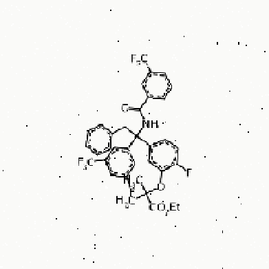 CCOC(=O)C(C)(C)Oc1cc(C(Cc2ccccc2)(NC(=O)c2cccc(C(F)(F)F)c2)c2cc(F)cc(C(F)(F)F)c2)ccc1F